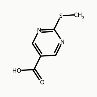 CSc1ncc(C(=O)O)cn1